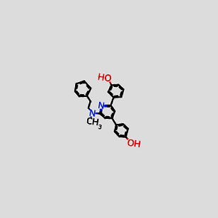 CN(CCc1ccccc1)c1cc(-c2ccc(O)cc2)cc(-c2cccc(O)c2)n1